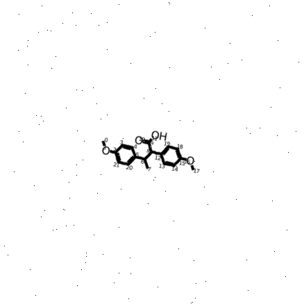 COc1ccc(C(C)C(C(=O)O)c2ccc(OC)cc2)cc1